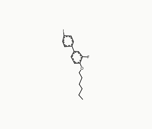 CCCCCCOc1ccc(-c2ccc(I)cc2)cc1F